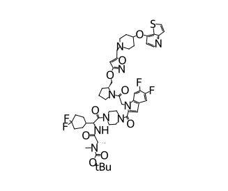 C[C@@H](C(=O)N[C@H](C(=O)N1CCN(C(=O)c2cc3cc(F)c(F)cc3n2CC(=O)N2CCC[C@H]2COc2cc(CN3CCC(Oc4ccnc5ccsc45)CC3)on2)CC1)C1CCC(F)(F)CC1)N(C)C(=O)OC(C)(C)C